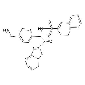 NCc1ccc(C(NS(=O)(=O)c2ccc3ccccc3c2)C(=O)c2nc3ccccc3s2)cc1